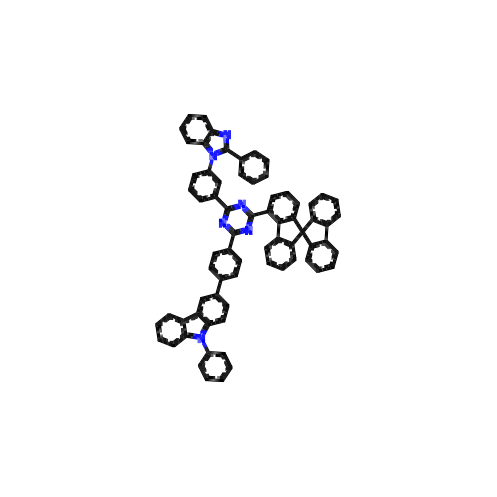 c1ccc(-c2nc3ccccc3n2-c2cccc(-c3nc(-c4ccc(-c5ccc6c(c5)c5ccccc5n6-c5ccccc5)cc4)nc(-c4cccc5c4-c4ccccc4C54c5ccccc5-c5ccccc54)n3)c2)cc1